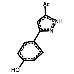 CC(=O)c1cc(-c2ccc(O)cc2)n[nH]1